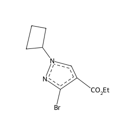 CCOC(=O)c1cn(C2CCC2)nc1Br